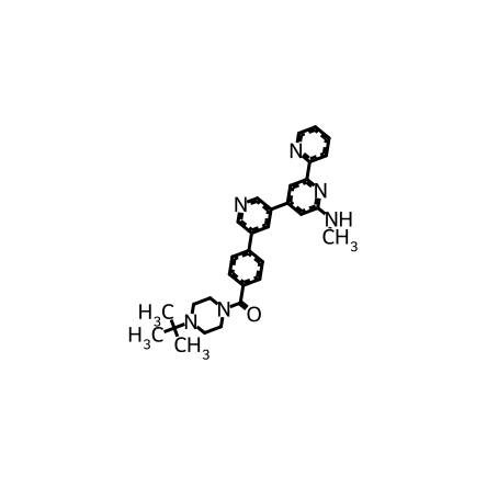 CNc1cc(-c2cncc(-c3ccc(C(=O)N4CCN(C(C)(C)C)CC4)cc3)c2)cc(-c2ccccn2)n1